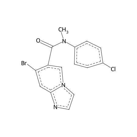 CN(C(=O)c1cn2ccnc2cc1Br)c1ccc(Cl)cc1